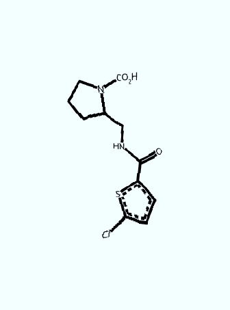 O=C(NCC1CCCN1C(=O)O)c1ccc(Cl)s1